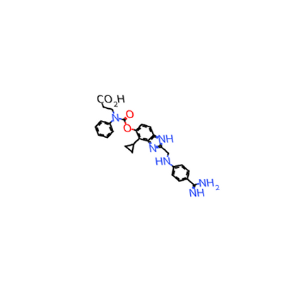 N=C(N)c1ccc(NCc2nc3c(C4CC4)c(OC(=O)N(CCC(=O)O)c4ccccc4)ccc3[nH]2)cc1